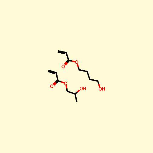 C=CC(=O)OCC(C)O.C=CC(=O)OCCCCO